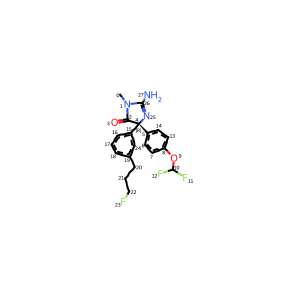 CN1C(=O)[C@@](c2ccc(OC(F)F)cc2)(c2cccc(CCCF)c2)N=C1N